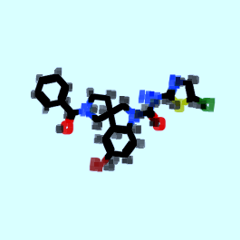 O=C(c1ccccc1)N1CCC2(C1)CN(C(=O)Nc1ncc(Cl)s1)c1ccc(Br)cc12